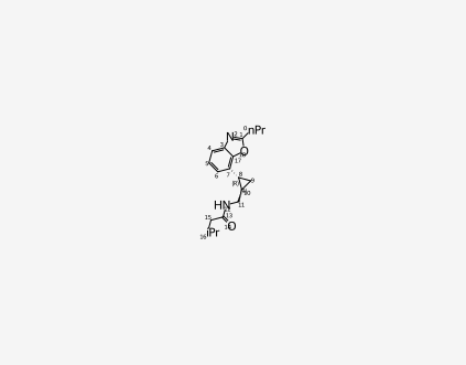 CCCc1nc2cccc([C@@H]3C[C@H]3CNC(=O)CC(C)C)c2o1